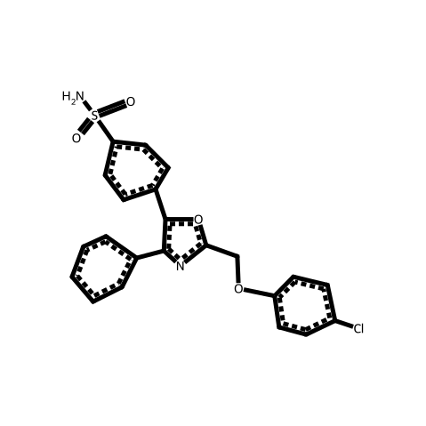 NS(=O)(=O)c1ccc(-c2oc(COc3ccc(Cl)cc3)nc2-c2ccccc2)cc1